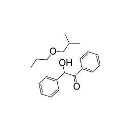 CCCOCC(C)C.O=C(c1ccccc1)C(O)c1ccccc1